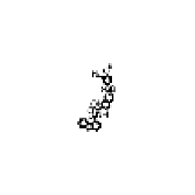 CCOc1ccc(S(=O)(=O)N2CCc3ccc(C(NC(=O)c4cccc5c4-c4ccccc4C5)C(=O)O)cc3C2)cc1C#N